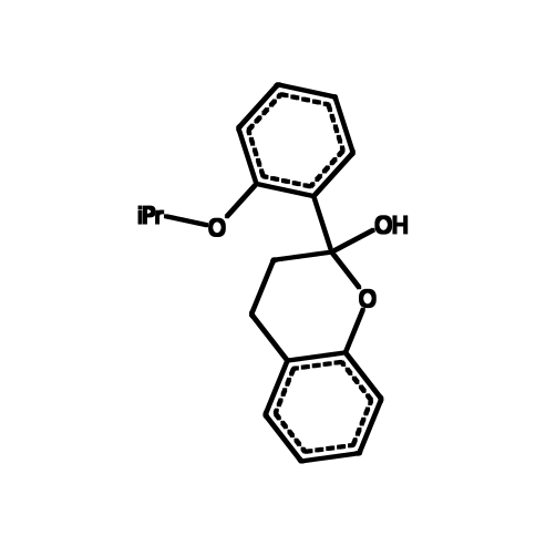 CC(C)Oc1ccccc1C1(O)CCc2ccccc2O1